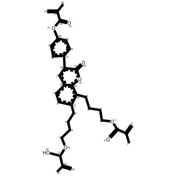 C=C(C)C(=O)OCCCCc1c(CCCCOC(O)C(=C)C)ccc2cc(-c3ccc(OC(=O)C(=C)C)cc3)c(=O)oc12